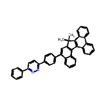 CC1(C)c2cc(-c3ccc(-c4ccc(-c5ccccc5)nn4)cc3)c3ccccc3c2-c2c1c1ccccc1c1ccccc21